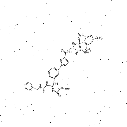 Cc1cc(C)c(S(=O)(=O)NC(CNC(=O)c2ccc(-c3cccc(NC(=NC(=O)OC(C)(C)C)NC(=O)NCc4ccccc4)c3)s2)C(=O)OC(C)(C)C)c(C)c1